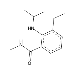 CCc1cccc(C(=O)NC)c1NC(C)C